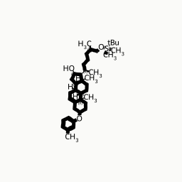 Cc1cccc(OC2CC[C@@]3(C)C(=CC[C@H]4[C@@H]5C[C@H](O)[C@H]([C@H](C)CCC[C@@H](C)CO[Si](C)(C)C(C)(C)C)[C@@]5(C)CC[C@@H]43)C2)c1